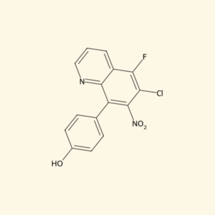 O=[N+]([O-])c1c(Cl)c(F)c2cccnc2c1-c1ccc(O)cc1